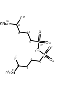 CCCCCCCCCC(F)CCCS(=O)(=O)OS(=O)(=O)CCCC(F)CCCCCCCCC